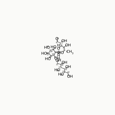 C[C@H](O)[C@H](O)[C@@H](O)[C@@H](O)C=O.OC[C@@H](O)[C@@H](O)[C@H](O)[C@H](O)CO.O[C@H]1[C@H](O)[C@@H](O)[C@H](O)[C@@H](O)[C@H]1O